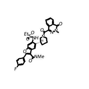 CCS(=O)(=O)Nc1cc2oc(-c3ccc(F)cc3)c(C(=O)NC)c2cc1[C@H]1CCCN(C(=O)c2nn(C)c(=O)c3ccccc23)C1